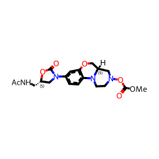 COC(=O)ON1CCN2c3ccc(N4C[C@H](CNC(C)=O)OC4=O)cc3OC[C@@H]2C1